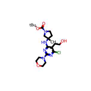 CC1(Nc2nc(N3CCOCC3)nc(Cl)c2CCO)CCN(C(=O)OC(C)(C)C)C1